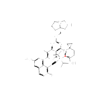 Cc1c(-c2cc(O)cc3ccc(F)c(C#C[Si](C(C)C)(C(C)C)C(C)C)c23)oc(=O)c2c(N3CC(O)CCC34CC4)nc(OC[C@@]34CCCN3C[C@H](F)C4)nc12